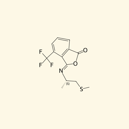 CSC[C@H](C)N=C1OC(=O)c2cccc(C(F)(F)F)c21